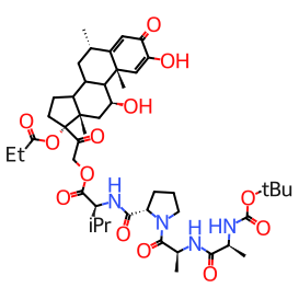 CCC(=O)O[C@]1(C(=O)COC(=O)[C@@H](NC(=O)[C@@H]2CCCN2C(=O)[C@H](C)NC(=O)[C@H](C)NC(=O)OC(C)(C)C)C(C)C)CCC2C3C[C@H](C)C4=CC(=O)C(O)=C[C@]4(C)C3[C@@H](O)C[C@@]21C